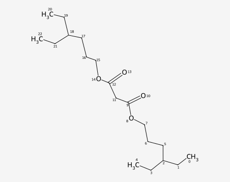 CCC(CC)CCCOC(=O)CC(=O)OCCCC(CC)CC